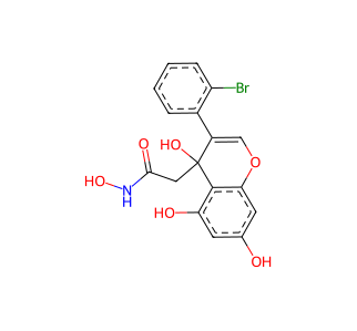 O=C(CC1(O)C(c2ccccc2Br)=COc2cc(O)cc(O)c21)NO